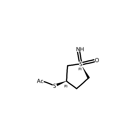 CC(=O)S[C@@H]1CC[S@@](=N)(=O)C1